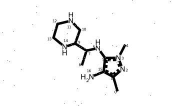 Cc1nn(C)c(NC(C)C2CNCCN2)c1N